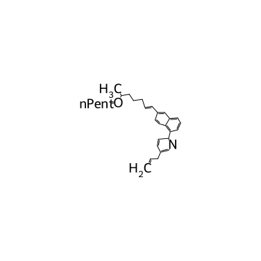 C=CCc1ccc(-c2cccc3cc(/C=C/CCCC(C)OCCCCC)ccc23)nc1